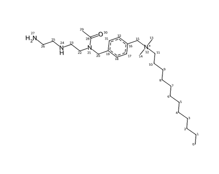 CCCCCCCCCCCC[N+](C)(C)Cc1ccc(CN(CCNCCN)C(C)=O)cc1